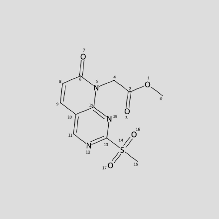 COC(=O)Cn1c(=O)ccc2cnc(S(C)(=O)=O)nc21